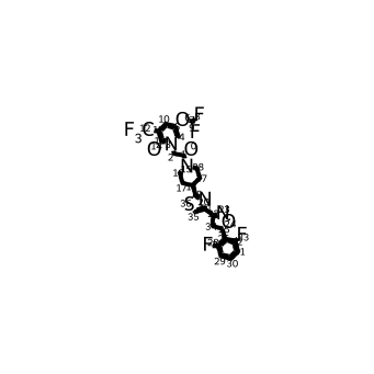 O=C(Cn1cc(OC(F)F)cc(C(F)(F)F)c1=O)N1CCC(c2nc(C3=NOC(c4c(F)cccc4F)C3)cs2)CC1